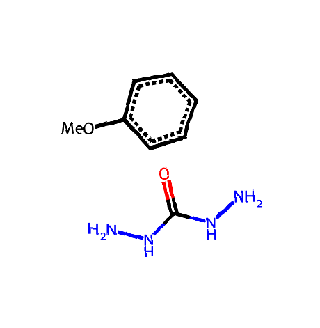 COc1ccccc1.NNC(=O)NN